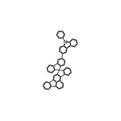 c1ccc(-n2c3ccccc3c3cc(-c4ccc5c(c4)-c4ccccc4C54c5ccccc5-c5c4cc4c6c(cccc56)-c5ccccc5-4)ccc32)cc1